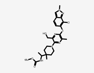 Cc1nc(N2CCC(C)(C(C)NC(=O)OC(C)(C)C)CC2)c(CO)nc1Sc1ccc2cn(C)nc2c1Cl